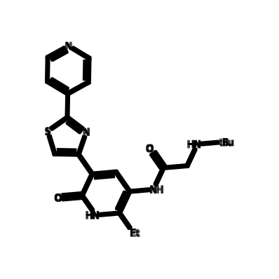 CCc1[nH]c(=O)c(-c2csc(-c3ccncc3)n2)cc1NC(=O)CNC(C)(C)C